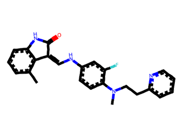 Cc1cccc2c1C(=CNc1ccc(N(C)CCc3ccccn3)c(F)c1)C(=O)N2